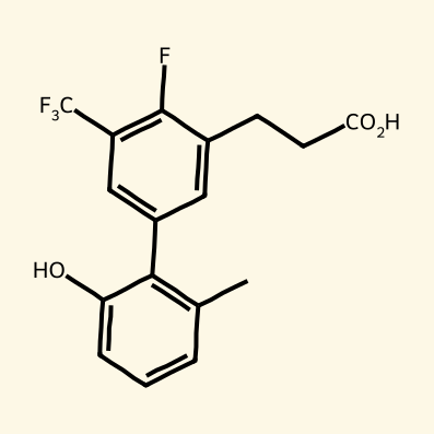 Cc1cccc(O)c1-c1cc(CCC(=O)O)c(F)c(C(F)(F)F)c1